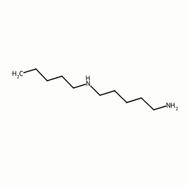 [CH2]CCCCNCCCCCN